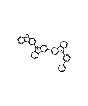 C1=CCCC(c2cccc(N3C4=CC=C(C5=CC6C7=C(CCC=C7)N(c7ccc8oc9ccccc9c8c7)C6C=C5)CC4C4=C3C=CCC4)c2)=C1